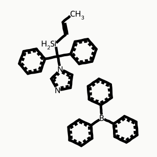 CC=C[SiH2]C(c1ccccc1)(c1ccccc1)n1ccnc1.c1ccc(B(c2ccccc2)c2ccccc2)cc1